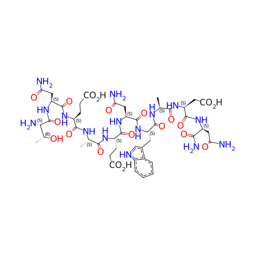 C[C@H](NC(=O)[C@H](Cc1c[nH]c2ccccc12)NC(=O)[C@H](CC(N)=O)NC(=O)[C@H](CCC(=O)O)NC(=O)[C@H](C)NC(=O)[C@H](CCC(=O)O)NC(=O)[C@H](CC(N)=O)NC(=O)[C@@H](N)[C@@H](C)O)C(=O)N[C@@H](CC(=O)O)C(=O)N[C@@H](CC(N)=O)C(N)=O